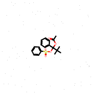 CC(=O)OC(OS(=O)(=O)c1ccccc1)(c1ccccc1)C(C)(C)C